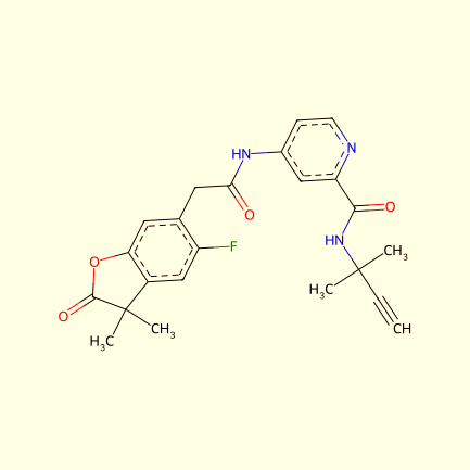 C#CC(C)(C)NC(=O)c1cc(NC(=O)Cc2cc3c(cc2F)C(C)(C)C(=O)O3)ccn1